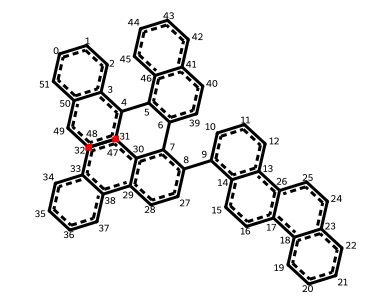 c1ccc2c(-c3c(-c4c(-c5cccc6c5ccc5c7ccccc7ccc65)ccc5c4ccc4ccccc45)ccc4ccccc34)cccc2c1